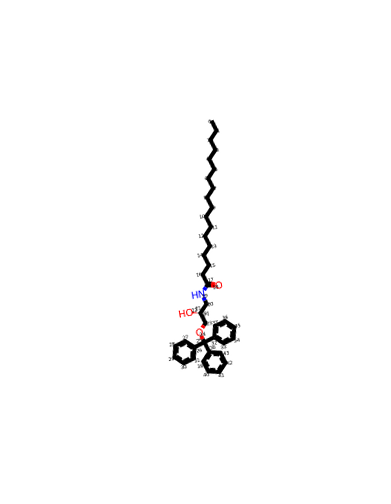 CCCCCCCCCCCCCCCCCC(=O)NC[C@@H](O)COC(c1ccccc1)(c1ccccc1)c1ccccc1